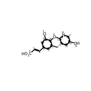 Cc1cc(C=CC(=O)O)cc(Cl)c1Oc1ccc(O)cn1